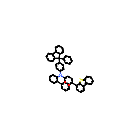 c1ccc(-c2ccccc2N(c2ccc(-c3cccc4c3sc3ccccc34)cc2)c2ccc(C3(c4ccccc4)c4ccccc4-c4ccccc43)cc2)cc1